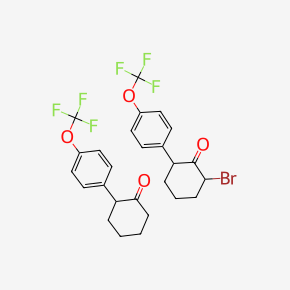 O=C1C(Br)CCCC1c1ccc(OC(F)(F)F)cc1.O=C1CCCCC1c1ccc(OC(F)(F)F)cc1